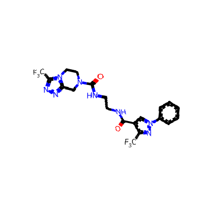 O=C(NCCNC(=O)N1CCn2c(nnc2C(F)(F)F)C1)c1cn(-c2ccccc2)nc1C(F)(F)F